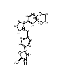 O=c1[nH]nc(-c2ccc(CN3CCCC3c3cnc4c(c3)OCCO4)cc2)o1